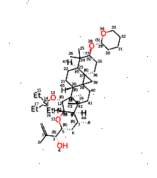 C=C(C)[C@@H](O)[C@H]1C[C@@H](C)[C@H]2[C@H](O1)[C@H](O[Si](CC)(CC)CC)[C@@]1(C)[C@@H]3CC[C@H]4C(C)(C)[C@@H](O[C@H]5CCCCO5)CC[C@@]45CC35CC[C@]21C